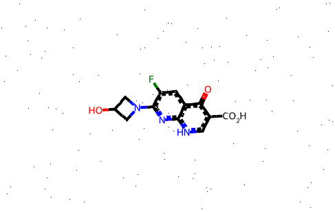 O=C(O)c1c[nH]c2nc(N3CC(O)C3)c(F)cc2c1=O